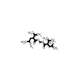 CC(C)CC(C(=O)OCOC(=O)C(CC(C)C)C(C)C)C(C)C